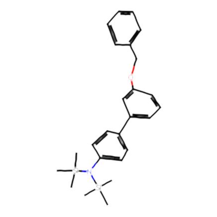 C[Si](C)(C)N(c1ccc(-c2cccc(OCc3ccccc3)c2)cc1)[Si](C)(C)C